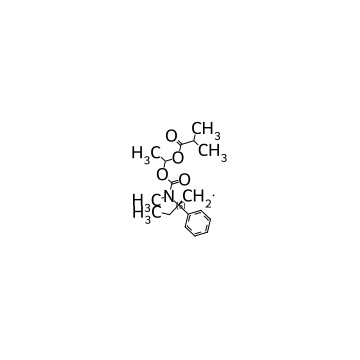 [CH2][C@](CC)(c1ccccc1)N(C)C(=O)OC(C)OC(=O)C(C)C